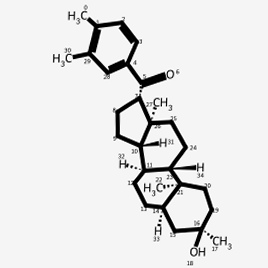 Cc1ccc(C(=O)[C@H]2CC[C@H]3[C@@H]4CC[C@@H]5C[C@](C)(O)CC[C@]5(C)[C@H]4CC[C@]23C)cc1C